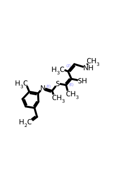 C=Cc1ccc(C)c(/N=C(\C)S/C(C)=C(S)\C(C)=C/NC)c1